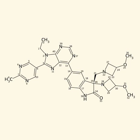 CCn1c(-c2cnc(C)nc2)nc2c(-c3ccc4c(c3)[C@](CN3CC(OC)C3)(N3CC(OC)C3)C(=O)N4)ncnc21